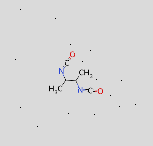 CC(N=C=O)C(C)N=C=O